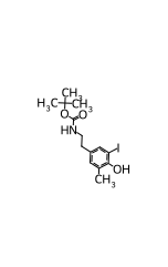 Cc1cc(CCNC(=O)OC(C)(C)C)cc(I)c1O